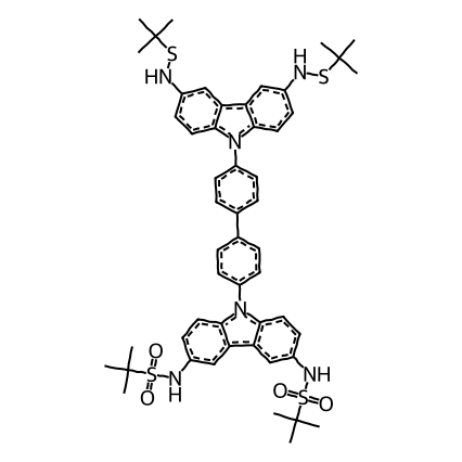 CC(C)(C)SNc1ccc2c(c1)c1cc(NSC(C)(C)C)ccc1n2-c1ccc(-c2ccc(-n3c4ccc(NS(=O)(=O)C(C)(C)C)cc4c4cc(NS(=O)(=O)C(C)(C)C)ccc43)cc2)cc1